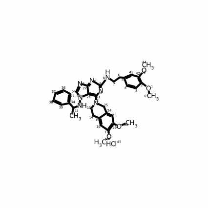 COc1ccc(CCNc2nc(N3CCc4cc(OC)c(OC)cc4C3)c3c(ncn3NC(C)c3ccccc3)n2)cc1OC.Cl